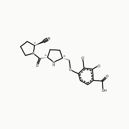 N#C[C@@H]1CCCN1C(=O)[C@@H]1CC[C@H](COc2ccc(C(=O)O)c(Cl)c2Cl)N1